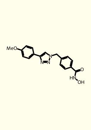 COc1ccc(-c2cn(Cc3ccc(C(=O)NO)cc3)nn2)cc1